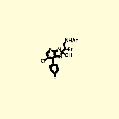 CC[C@H](CNC(C)=O)C1(O)N=c2ncc(Cl)c(-c3ccc(F)cc3)c2=N1